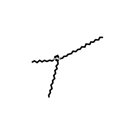 CCCCCCCCCCCCCCCCCCCn1cc[n+](CCCCCCCCC)c1CCCCCCCCCCCCCCC